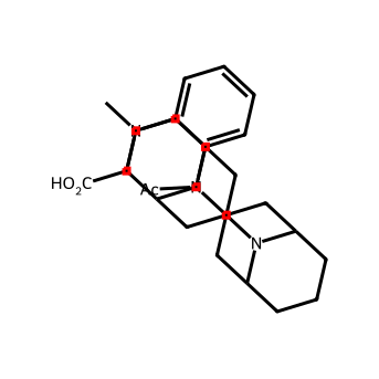 CC(=O)N(c1ccccc1N(C)CC(=O)O)C1CC2CCCC(C1)N2C1CC2CCCC(C2)C1